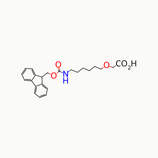 O=C(O)COCCCCCCNC(=O)OCC1c2ccccc2-c2ccccc21